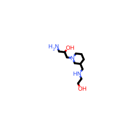 NCC(O)CN1CCCC(CNCCO)C1